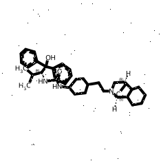 CC(C)[C@@H](NC(=O)NC1CCC(CCN2C[C@@H]3CC[C@H]2C2CCCCC23)CC1)C(O)(c1ccccc1)c1ccccc1